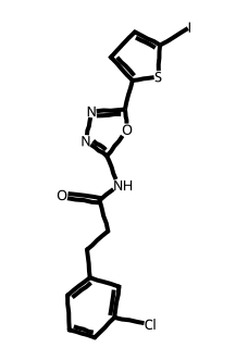 O=C(CCc1cccc(Cl)c1)Nc1nnc(-c2ccc(I)s2)o1